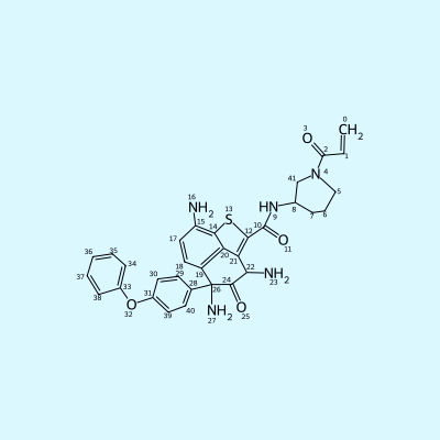 C=CC(=O)N1CCCC(NC(=O)c2sc3c(N)ccc4c3c2C(N)C(=O)C4(N)c2ccc(Oc3ccccc3)cc2)C1